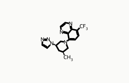 C[C@H]1C[C@@H](n2ccnn2)CN(c2ccc(C(F)(F)F)c3nccnc23)C1